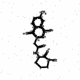 CCN1CCC[C@@H](NC(=O)Cn2nc(C(C)C)c3cc(C(F)(F)F)ccc3c2=O)C1=O